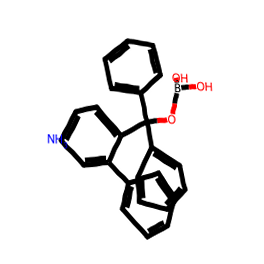 N.OB(O)OC(c1ccccc1)(c1ccccc1)c1ccccc1-c1ccccc1